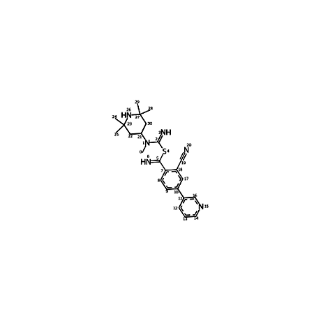 CN(C(=N)SC(=N)c1ccc(-c2cccnc2)cc1C#N)C1CC(C)(C)NC(C)(C)C1